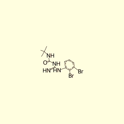 CC(C)(C)NC(=O)NC(=N)Nc1cccc(Br)c1Br